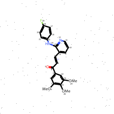 COc1cc(C(=O)/C=C/c2cccnc2Nc2ccc(F)cc2)cc(OC)c1OC